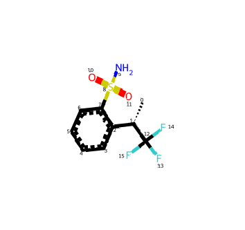 C[C@@H](c1ccccc1S(N)(=O)=O)C(F)(F)F